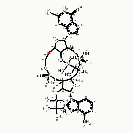 CC(C)(C)[Si](C)(C)OC1[C@H]2OP(=O)(O)OC[C@H]3O[C@@H](n4cnc5c(N)nccc54)C(O[Si](C)(C)C(C)(C)C)[C@@H]3OP(=O)(O)OCC[C@H]1O[C@H]2n1cnc2c(=O)[nH]c(N)nc21